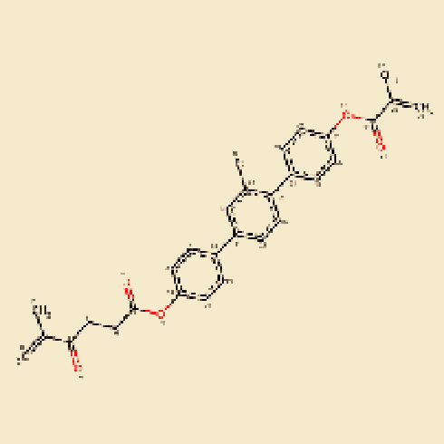 C=C(C)C(=O)CCC(=O)Oc1ccc(-c2ccc(-c3ccc(OC(=O)C(=C)C)cc3)c(CC)c2)cc1